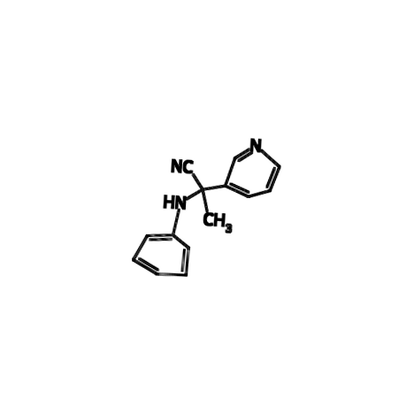 CC(C#N)(Nc1ccccc1)c1cccnc1